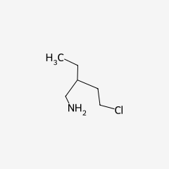 CCC(CN)CCCl